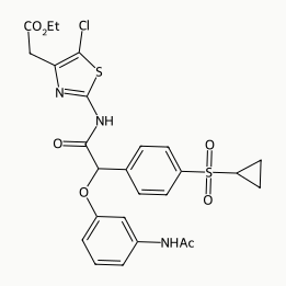 CCOC(=O)Cc1nc(NC(=O)C(Oc2cccc(NC(C)=O)c2)c2ccc(S(=O)(=O)C3CC3)cc2)sc1Cl